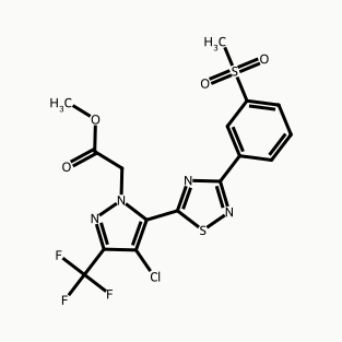 COC(=O)Cn1nc(C(F)(F)F)c(Cl)c1-c1nc(-c2cccc(S(C)(=O)=O)c2)ns1